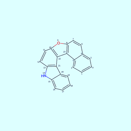 c1ccc2c(c1)ccc1oc3ccc4[nH]c5ccccc5c4c3c12